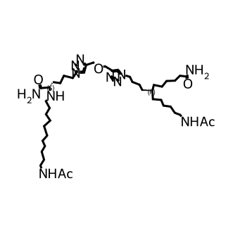 CC(=O)NCCCCCCCCCCCN[C@@H](CCCCn1cc(COCc2cn(CCCC[C@H](CCCCCCNC(C)=O)CCCCCC(N)=O)nn2)nn1)C(N)=O